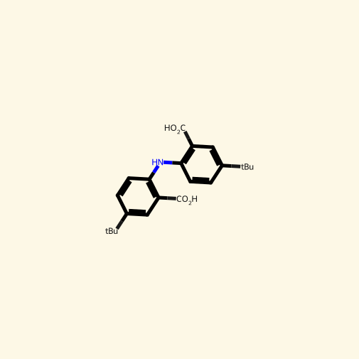 CC(C)(C)c1ccc(Nc2ccc(C(C)(C)C)cc2C(=O)O)c(C(=O)O)c1